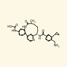 C[C@H]1CCC[C@H](NC(=O)c2ccc(CN)c(C3CC3)c2)c2cc(ccn2)-c2ccc(NC(=O)O)cc2NC1=O